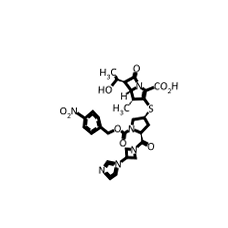 CC(O)[C@H]1C(=O)N2C(C(=O)O)=C(S[C@H]3C[C@@H](C(=O)N4CC(n5ccnc5)C4)N(C(=O)OCc4ccc([N+](=O)[O-])cc4)C3)[C@H](C)[C@H]12